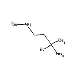 CCC(C)NCCC(C)(N)CC